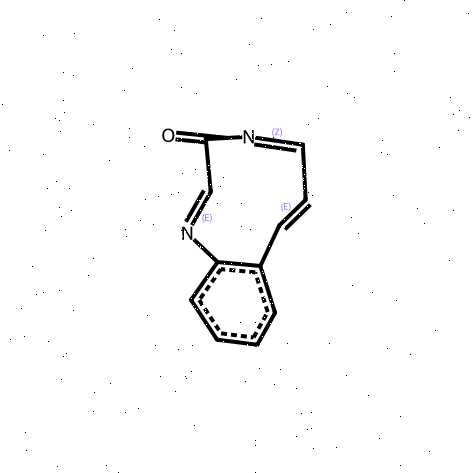 O=C1/C=N/c2ccccc2/C=C/C=N\1